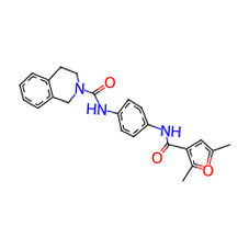 Cc1cc(C(=O)Nc2ccc(NC(=O)N3CCc4ccccc4C3)cc2)c(C)o1